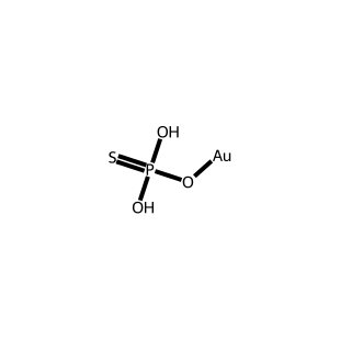 OP(O)(=S)[O][Au]